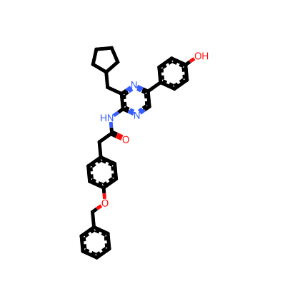 O=C(Cc1ccc(OCc2ccccc2)cc1)Nc1ncc(-c2ccc(O)cc2)nc1CC1CCCC1